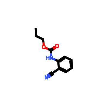 CCCOC(=O)Nc1ccccc1C#N